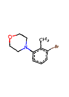 Cc1c(Br)cccc1N1CCOCC1